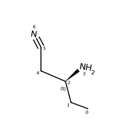 CC[C@H](N)CC#N